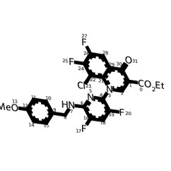 CCOC(=O)c1cn(-c2nc(NCc3ccc(OC)cc3)c(F)cc2F)c2c(Cl)c(F)c(F)cc2c1=O